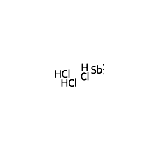 Cl.Cl.Cl.[Sb]